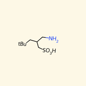 CC(C)(C)CC(CN)CS(=O)(=O)O